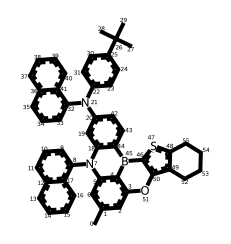 Cc1cc2c3c(c1)N(c1cccc4ccccc14)c1cc(N(c4ccc(C(C)(C)C)cc4)c4cccc5ccccc45)ccc1B3c1sc3c(c1O2)CCCC3